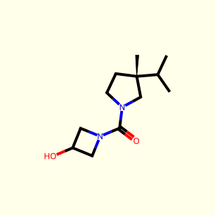 CC(C)[C@@]1(C)CCN(C(=O)N2CC(O)C2)C1